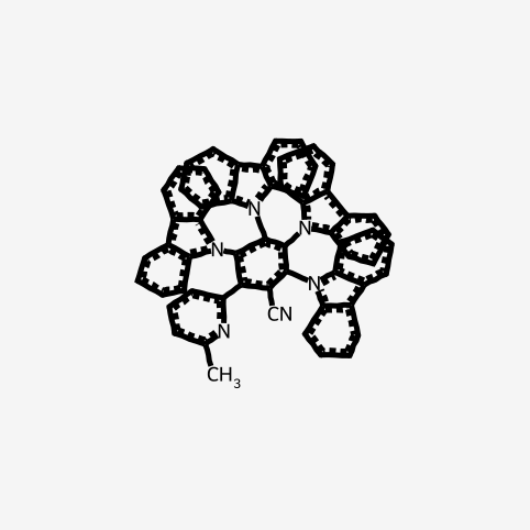 Cc1cccc(-c2c(C#N)c(-n3c4ccccc4c4ccccc43)c(-n3c4ccccc4c4ccccc43)c(-n3c4ccccc4c4ccccc43)c2-n2c3ccccc3c3ccccc32)n1